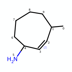 CC1/C=C\C(N)CCCC1